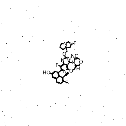 C#Cc1c(F)ccc2cc(O)cc(-c3nc4c5c(nc(OC[C@@]67CCCN6C[C@H](F)C7)nc5c3F)N3[C@@H](COC[C@@H]3C#N)CO4)c12